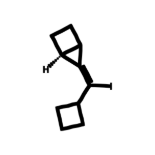 I/C(=C1\C2CC[C@H]12)C1CCC1